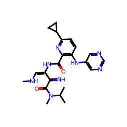 CN/C=C(/NC(=O)c1nc(C2CC2)ccc1Nc1cncnc1)C(=N)C(=O)N(C)C(C)C